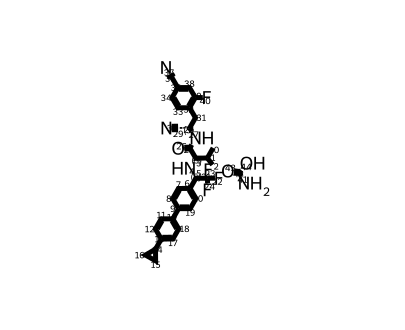 CC(C)[C@H](N[C@@H](c1ccc(-c2ccc(C3CC3)cc2)cc1)C(F)(F)F)C(=O)N[C@H](C#N)Cc1ccc(C#N)cc1F.NC(=O)O